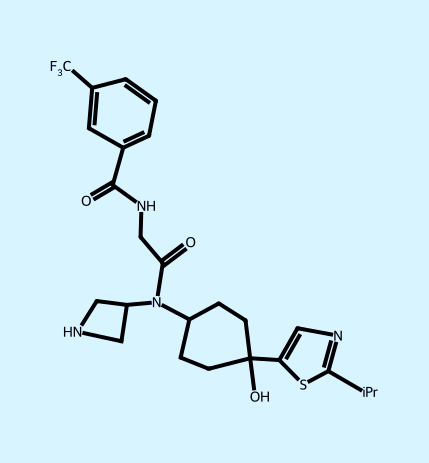 CC(C)c1ncc(C2(O)CCC(N(C(=O)CNC(=O)c3cccc(C(F)(F)F)c3)C3CNC3)CC2)s1